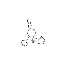 [H-].[H-].[H-].[Ti+3][C]1(C2=CC=CC2)CCCCC1C1=CC=CC1